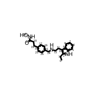 CCc1[nH]c2ccccc2c1CCNCc1ccc(CCC(=O)NO)cc1